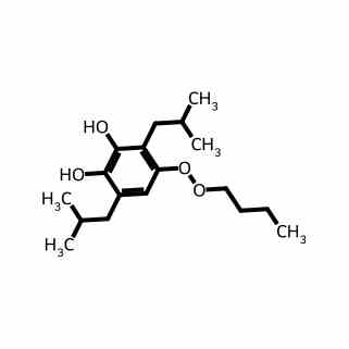 CCCCOOc1cc(CC(C)C)c(O)c(O)c1CC(C)C